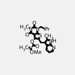 CON(C)C(=O)Oc1c(Cc2c(C)[nH]c3ncccc23)sc2c1c(=O)n(C)c(=O)n2CC(C)C